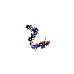 Cc1c(OCC(F)(F)CN2C[C@@H](C)N(CC(=O)Nc3cccc4c(C5CCC(=O)NC5=O)nn(C)c34)[C@@H](C)C2)cccc1-c1ccc(N2CCc3cccc(C(=O)Nc4nc5ccccc5s4)c3C2)nc1